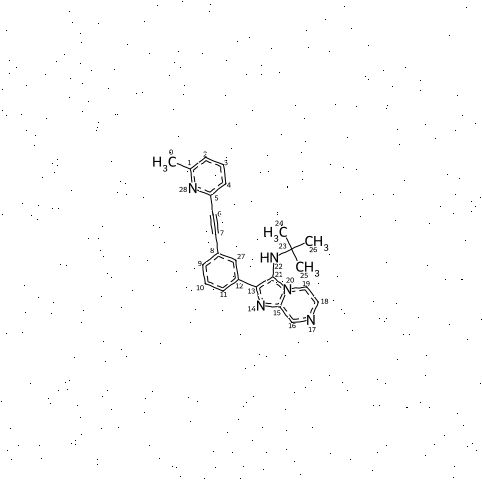 Cc1cccc(C#Cc2cccc(-c3nc4cnccn4c3NC(C)(C)C)c2)n1